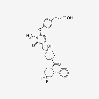 Nc1c(Oc2ccc(CCCO)cc2)ncn(CC2(O)CCN(C(=O)[C@@H]3CCC(F)(F)C[C@H]3c3ccccc3)CC2)c1=O